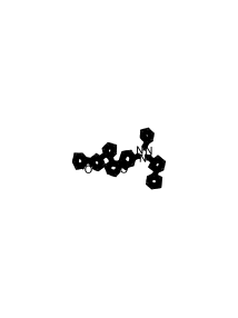 c1ccc(-c2cccc(-c3nc(-c4ccccc4)nc(-c4ccc5c(c4)oc4cccc(-c6ccccc6-c6ccc7oc8ccccc8c7c6)c45)n3)c2)cc1